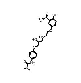 CN(C)C(=O)Nc1ccc(OCC(O)CNCCOc2ccc(O)c(C(N)=O)c2)cc1